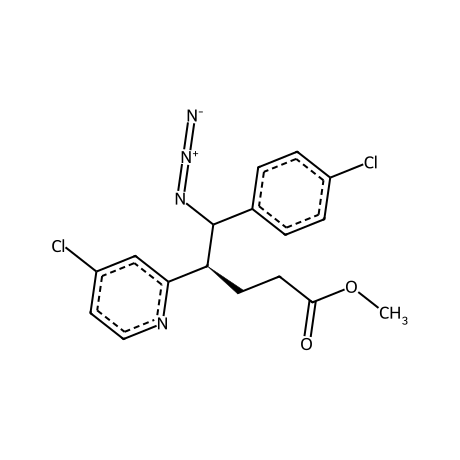 COC(=O)CC[C@@H](c1cc(Cl)ccn1)C(N=[N+]=[N-])c1ccc(Cl)cc1